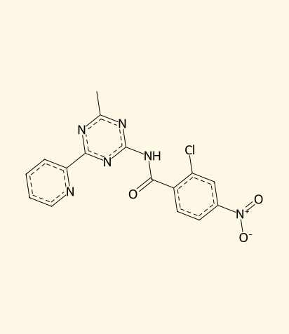 Cc1nc(NC(=O)c2ccc([N+](=O)[O-])cc2Cl)nc(-c2ccccn2)n1